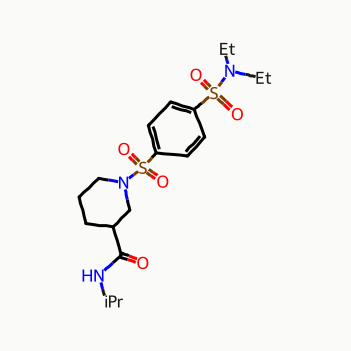 CCN(CC)S(=O)(=O)c1ccc(S(=O)(=O)N2CCCC(C(=O)NC(C)C)C2)cc1